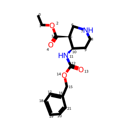 CCOC(=O)[C@H]1CNCC[C@H]1NC(=O)OCc1ccccc1